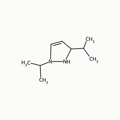 CC(C)C1C=CN(C(C)C)N1